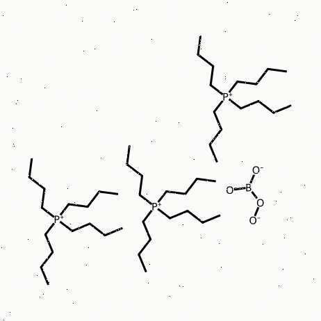 CCCC[P+](CCCC)(CCCC)CCCC.CCCC[P+](CCCC)(CCCC)CCCC.CCCC[P+](CCCC)(CCCC)CCCC.[O-]OB([O-])[O-]